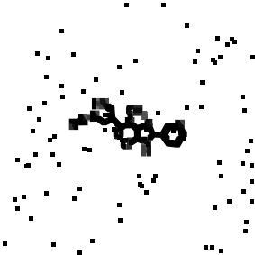 CN(C(=O)C(C=N)CN=[N+]=[N-])C1=C(Cl)NC(c2cccnc2)S1